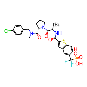 CN(Cc1ccc(Cl)cc1)C(=O)[C@@H]1CCCN1C(=O)C(NC(=O)c1cc2cc(C(F)(F)P(=O)(O)O)ccc2s1)C(C)(C)C